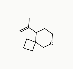 C=C(C)C1CCOCC12CCC2